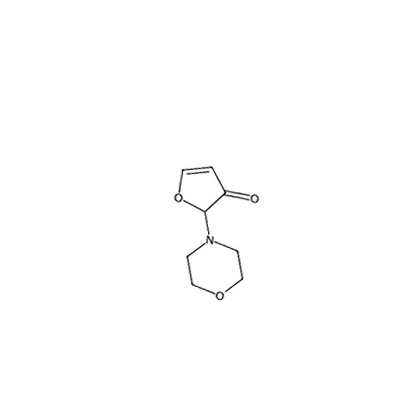 O=C1C=COC1N1CCOCC1